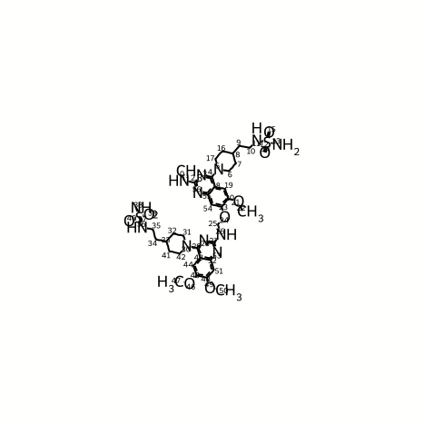 CNc1nc(N2CCC(CCNS(N)(=O)=O)CC2)c2cc(OC)c(OCNc3nc(N4CCC(CCNS(N)(=O)=O)CC4)c4cc(OC)c(OC)cc4n3)cc2n1